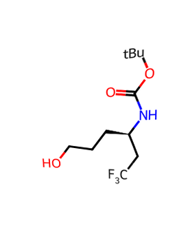 CC(C)(C)OC(=O)N[C@H](CCCO)CC(F)(F)F